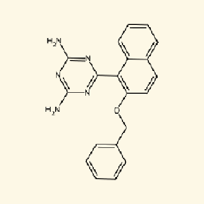 Nc1nc(N)nc(-c2c(OCc3ccccc3)ccc3ccccc23)n1